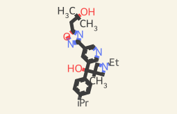 CCN1CC(C)(C(O)(c2ccc(C(C)C)cc2)c2cncc(-c3noc(CC(C)(C)O)n3)c2)C1